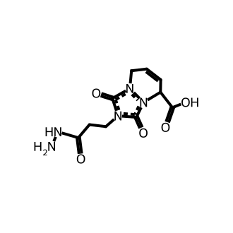 NNC(=O)CCn1c(=O)n2n(c1=O)C(C(=O)O)C=CC2